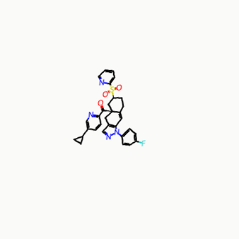 O=C(c1ccc(C2CC2)cn1)[C@]12Cc3cnn(-c4ccc(F)cc4)c3C=C1CC[C@H](S(=O)(=O)c1ccccn1)C2